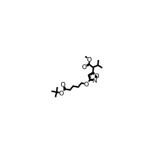 COC(=O)C(c1cc(OCCCCC(=O)OC(C)(C)C)no1)C(C)C